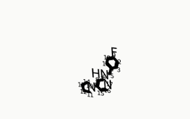 Fc1ccc(CNc2cc(N3CCCC3)ccn2)cc1